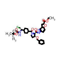 CCOC(=O)c1cc2cc(NC(=O)[C@@H]3[C@H](OCc4ccccc4)CCN3C(=O)C3CCC([C@@H](CF)NC(=O)OC(C)(C)C)CC3)ccc2o1